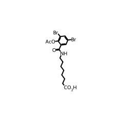 CC(=O)Oc1c(Br)cc(Br)cc1C(=O)NCCCCCCCC(=O)O